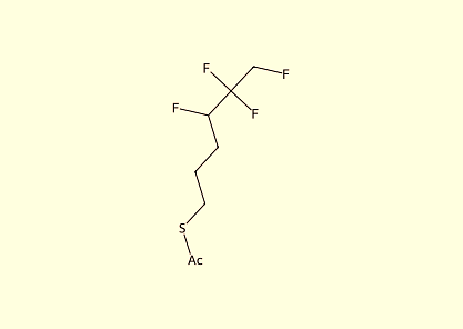 CC(=O)SCCCC(F)C(F)(F)CF